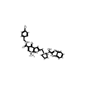 Cn1cc(C(=O)NCc2ccc(Cl)cc2)c(=O)c2cc(CN3CCC[C@@H]3C(O)c3nc4ccccc4s3)sc21